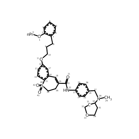 CCCOc1ccccc1CCCOc1ccc2c(c1)C=C(C(=O)Nc1ccc(CN(C)C3CCOCC3)cc1)CCS2(=O)=O